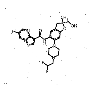 C[C@]1(CO)Cc2cc(NC(=O)c3cnn4cc(F)cnc34)c(N3CCN(CC(F)F)CC3)cc2O1